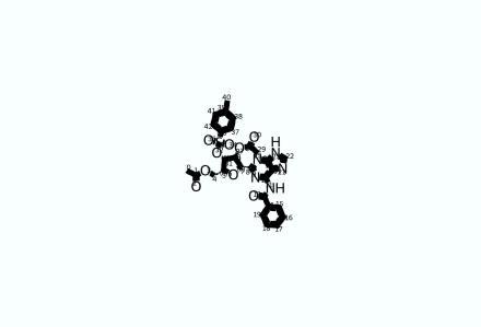 CC(=O)OC[C@H]1O[C@@H](c2nc(NC(=O)c3ccccc3)c3nc[nH]c3n2)[C@H](OC(C)=O)[C@H]1OS(=O)(=O)c1ccc(C)cc1